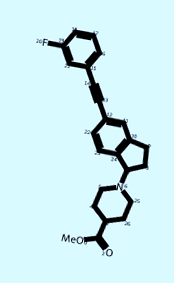 COC(=O)C1CCN(C2CCc3cc(C#Cc4cccc(F)c4)ccc32)CC1